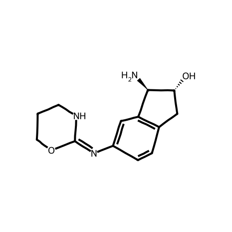 N[C@@H]1c2cc(N=C3NCCCO3)ccc2C[C@H]1O